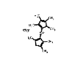 CC1=C(C)[C]([Zr+2][C]2=C(C)C(C)=C(C)C2C)=C(C)C1.[Cl-].[Cl-]